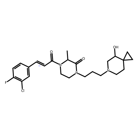 CC1C(=O)N(CCCN2CCC3(CC3)C(O)C2)CCN1C(=O)/C=C/c1ccc(F)c(Cl)c1